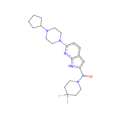 O=C(c1cc2ccc(N3CCN(C4CCCC4)CC3)nc2[nH]1)N1CCC(F)(F)CC1